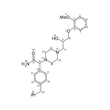 COc1ccccc1OCC(O)CN1CCN(C(C(N)=O)c2ccc(CC(C)C)cc2)CC1